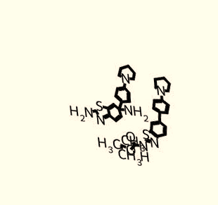 CC(C)(C)OC(=O)Nc1nc2ccc(-c3ccc(N4CCCCC4)cc3)cc2s1.NC1N=C2C=CC(N)(c3ccc(N4CCCCC4)cc3)C=C2S1